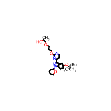 CC(O)COCCCOc1nccc(-c2nn(C3CCCCO3)c3ccc(O[Si](C)(C)C(C)(C)C)cc23)n1